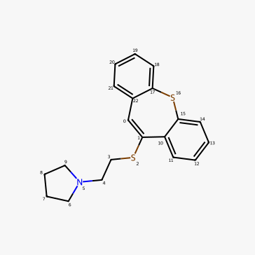 C1=C(SCCN2CCCC2)c2ccccc2Sc2ccccc21